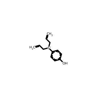 C=CC[S+](CC=C)c1ccc(O)cc1